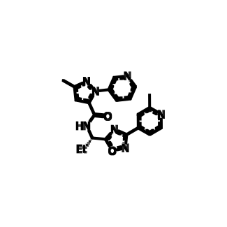 CC[C@H](NC(=O)c1cc(C)nn1-c1cccnc1)c1nc(-c2ccnc(C)c2)no1